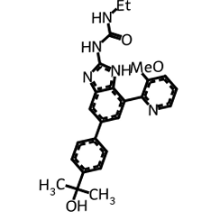 CCNC(=O)Nc1nc2cc(-c3ccc(C(C)(C)O)cc3)cc(-c3ncccc3OC)c2[nH]1